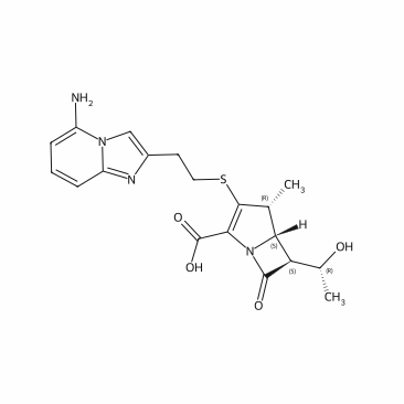 C[C@@H](O)[C@H]1C(=O)N2C(C(=O)O)=C(SCCc3cn4c(N)cccc4n3)[C@H](C)[C@H]12